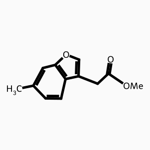 COC(=O)Cc1coc2cc(C)ccc12